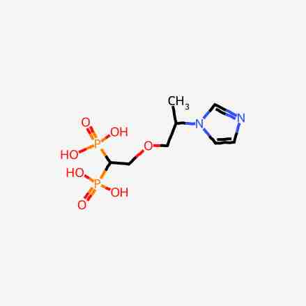 CC(COCC(P(=O)(O)O)P(=O)(O)O)n1ccnc1